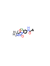 CC1(C)NC(=O)N(c2ccc(NC(=O)C3CC3)cc2Cl)C1=O